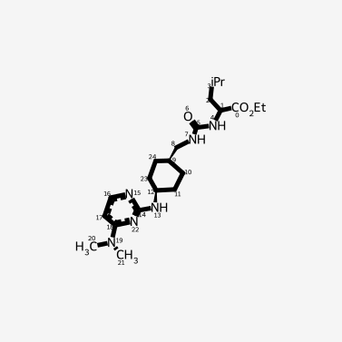 CCOC(=O)C(CC(C)C)NC(=O)NC[C@H]1CC[C@@H](Nc2nccc(N(C)C)n2)CC1